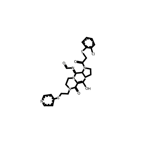 C/C(O)=C1/C(=O)N(CCSc2ccncc2)CCN1/C(=N\C=O)C1CCCN1C(=O)CSc1ccccc1Cl